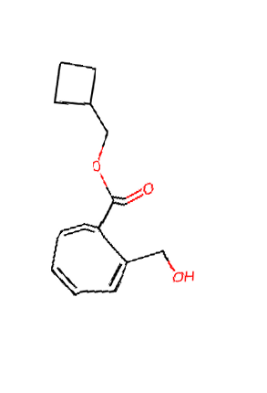 O=C(OCC1CCC1)c1ccccc1CO